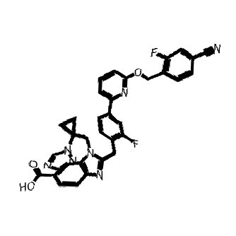 N#Cc1ccc(COc2cccc(-c3ccc(Cc4nc5ccc(C(=O)O)cc5n4CC4(n5cncn5)CC4)c(F)c3)n2)c(F)c1